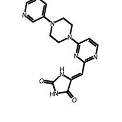 O=C1NC(=O)C(=Cc2nccc(N3CCN(c4cncnc4)CC3)n2)N1